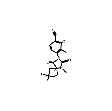 Cc1c(N2C(=O)N(C)[C@]3(CCC(F)(F)C3)C2=O)ccc(C#N)c1Cl